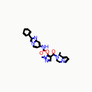 CC1c2cccn2CCN1C(=O)c1cnn(C)c1OC(=O)Nc1ccn2cc(-c3ccccc3)nc2c1